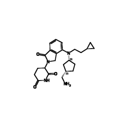 NC[C@H]1CC[C@@H](N(CCC2CC2)c2cccc3c2CN(C2CCC(=O)NC2=O)C3=O)C1